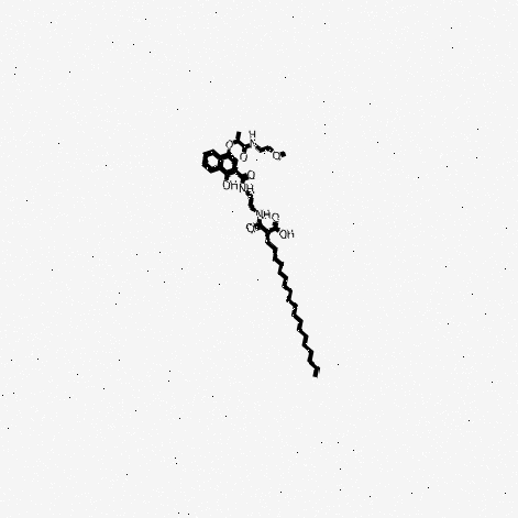 CCCCCCCCCCCCCCCCCCCC(C(=O)O)C(=O)NCCNC(=O)c1cc(OC(C)C(=O)NCCOC)c2ccccc2c1O